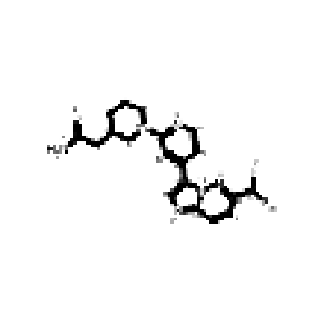 NC(=O)CC1CCCN(c2cc(-c3cnc4ccc(C(F)F)nn34)ccn2)C1